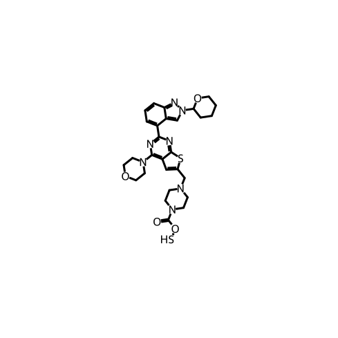 O=C(OS)N1CCN(Cc2cc3c(N4CCOCC4)nc(-c4cccc5nn(C6CCCCO6)cc45)nc3s2)CC1